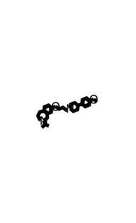 COc1ccc(C2CCN(CCCOc3ccc4c(c3)CN(C(C)C)CCC4)CC2)cc1